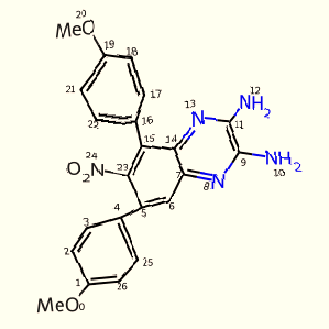 COc1ccc(-c2cc3nc(N)c(N)nc3c(-c3ccc(OC)cc3)c2[N+](=O)[O-])cc1